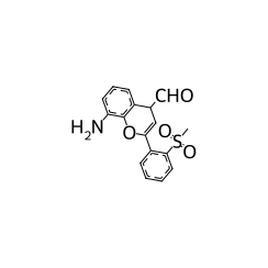 CS(=O)(=O)c1ccccc1C1=CC(C=O)c2cccc(N)c2O1